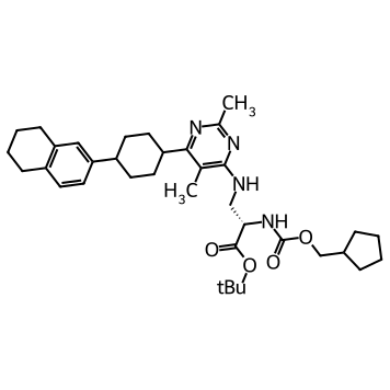 Cc1nc(NC[C@H](NC(=O)OCC2CCCC2)C(=O)OC(C)(C)C)c(C)c(C2CCC(c3ccc4c(c3)CCCC4)CC2)n1